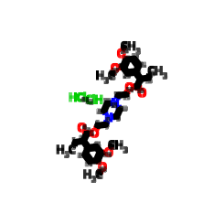 CCC(C(=O)OCCN1CCN(CCOC(=O)C(CC)c2ccc(OC)c(OC)c2)CC1)c1ccc(OC)c(OC)c1.Cl.Cl